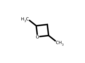 CC1CC(C)O1